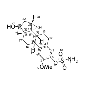 COc1cc2c(cc1OS(N)(=O)=O)CC[C@@H]1[C@@H]2CC[C@]2(C)[C@@H](O)C[C@@H]3C[C@]312